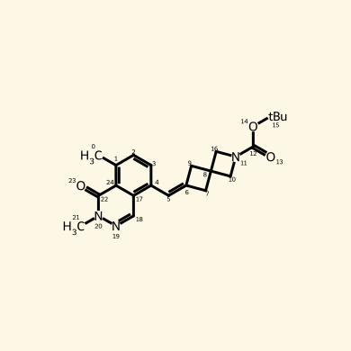 Cc1ccc(C=C2CC3(C2)CN(C(=O)OC(C)(C)C)C3)c2cnn(C)c(=O)c12